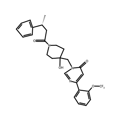 C[C@H](CC(=O)N1CCC(O)(Cn2cnc(-c3ccccc3OC(F)(F)F)cc2=O)CC1)c1ccccc1